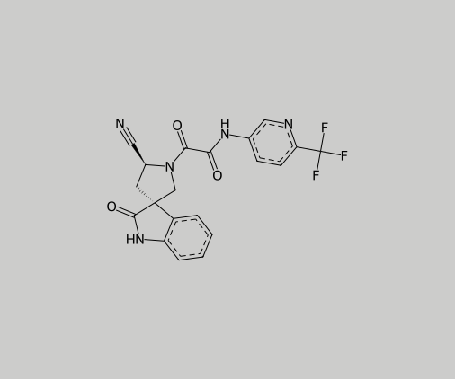 N#C[C@@H]1C[C@@]2(CN1C(=O)C(=O)Nc1ccc(C(F)(F)F)nc1)C(=O)Nc1ccccc12